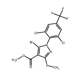 COC(=O)c1c(SC)nn(-c2c(Cl)cc(C(F)(F)F)cc2Cl)c1Br